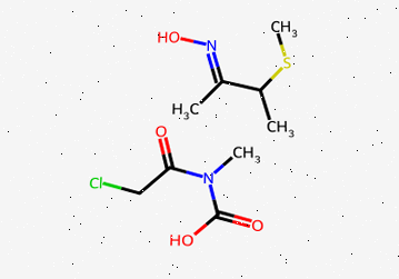 CN(C(=O)O)C(=O)CCl.CSC(C)C(C)=NO